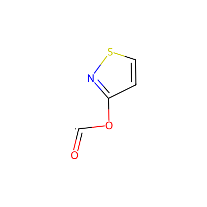 O=[C]Oc1ccsn1